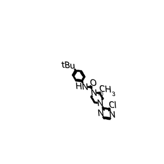 C[C@@H]1CN(c2nccnc2Cl)CCN1C(=O)Nc1ccc(C(C)(C)C)cc1